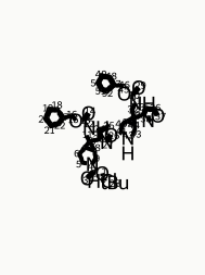 CC(C)(C)OC(=O)N1CCC2C(C1)C2(CNC(=O)OCc1ccccc1)c1ccon1.Cl.O=C(NCC1(c2ccon2)C2CCNCC21)OCc1ccccc1